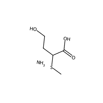 CSC(CCO)C(=O)O.N